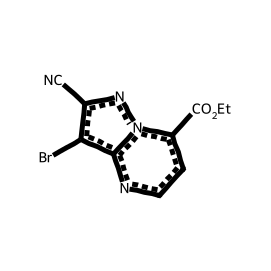 CCOC(=O)c1ccnc2c(Br)c(C#N)nn12